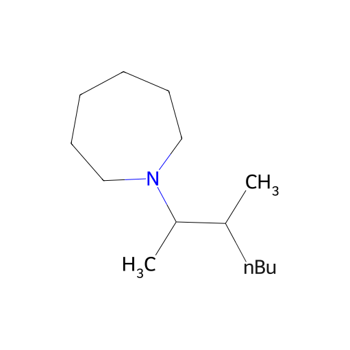 CCCCC(C)C(C)N1CCCCCC1